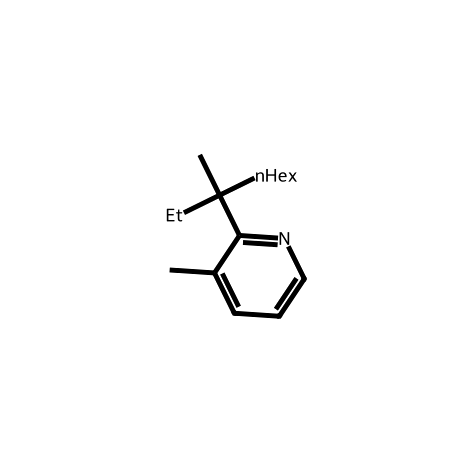 CCCCCCC(C)(CC)c1ncccc1C